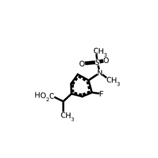 CC(C(=O)O)c1ccc(N(C)S(C)(=O)=O)c(F)c1